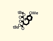 COc1ccc2c(c1)N(C(=O)OC(C)(C)C)C(=O)[C@@H](C(=O)OC(C)(C)C)CC2